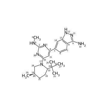 CNc1nc(-c2ccc3c(N)n[nH]c3c2)cc(N2C[C@H](C)C[CH]C2C(C)(C)C)n1